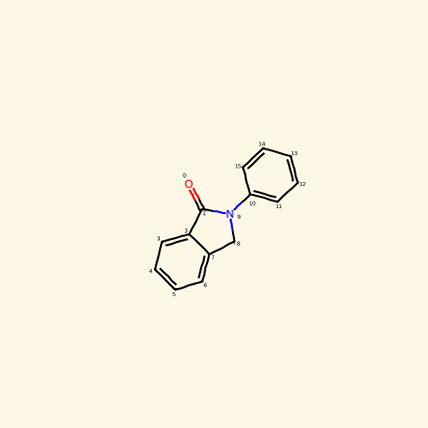 O=C1c2ccccc2[CH]N1c1ccccc1